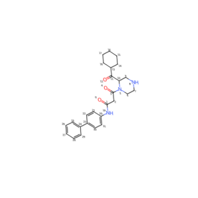 O=C(CC(=O)N1CCNCC1C(=O)C1CCCCC1)Nc1ccc(-c2ccccc2)cc1